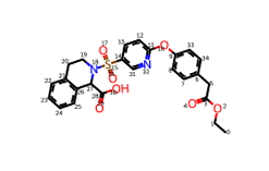 CCOC(=O)Cc1ccc(Oc2ccc(S(=O)(=O)N3CCc4ccccc4C3C(=O)O)cn2)cc1